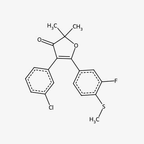 CSc1ccc(C2=C(c3cccc(Cl)c3)C(=O)C(C)(C)O2)cc1F